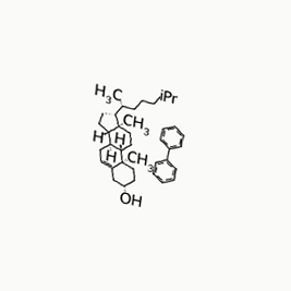 CC(C)CCC[C@@H](C)[C@H]1CC[C@H]2[C@@H]3CC=C4C[C@@H](O)CC[C@]4(C)[C@H]3CC[C@]12C.c1ccc(-c2ccccc2)cc1